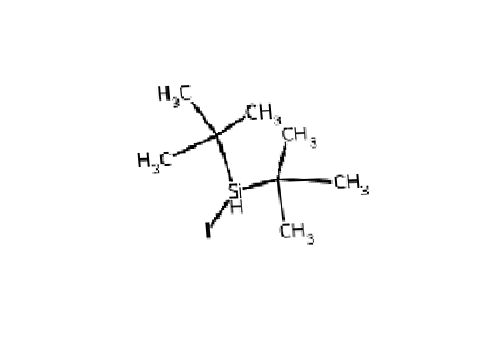 CC(C)(C)[SiH](I)C(C)(C)C